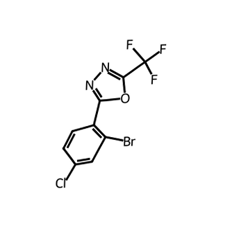 FC(F)(F)c1nnc(-c2ccc(Cl)cc2Br)o1